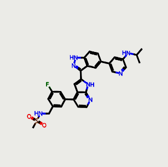 CC(C)Nc1cncc(-c2ccc3[nH]nc(-c4cc5c(-c6cc(F)cc(CNS(C)(=O)=O)c6)ccnc5[nH]4)c3c2)c1